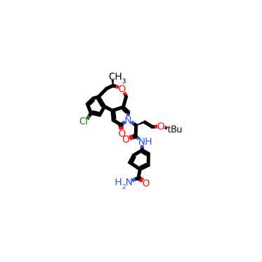 C[C@@H]1Cc2ccc(Cl)cc2-c2cc(=O)n([C@@H](CCOC(C)(C)C)C(=O)Nc3ccc(C(N)=O)cc3)cc2CO1